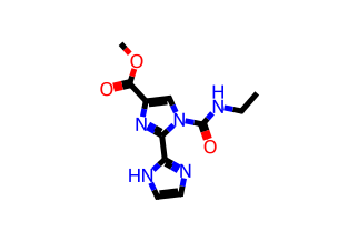 CCNC(=O)n1cc(C(=O)OC)nc1-c1ncc[nH]1